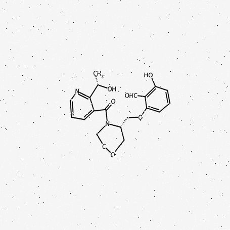 C[C@H](O)c1ncccc1C(=O)N1CCOC[C@H]1COc1cccc(O)c1C=O